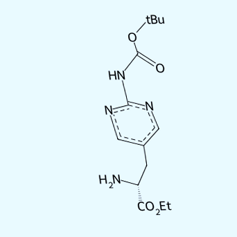 CCOC(=O)[C@H](N)Cc1cnc(NC(=O)OC(C)(C)C)nc1